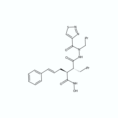 CC(C)C[C@@H](C(=O)NN(CC(C)C)C(=O)c1csnn1)[C@H](CC=Cc1ccccc1)C(=O)NO